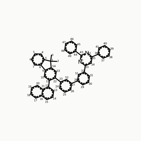 CC1(C)c2ccccc2-c2cc(-c3cccc4ccccc34)c(-c3cccc(-c4cccc(-c5cc(-c6ccccc6)nc(-c6ccccc6)n5)c4)c3)cc21